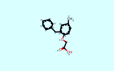 Cc1ccc(OCC(=O)O)c(Cc2ccccc2)c1